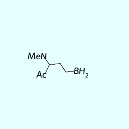 BCCC(NC)C(C)=O